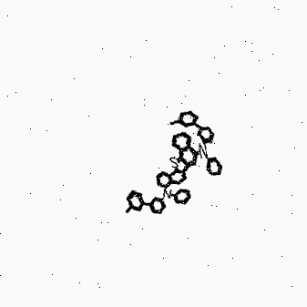 Cc1cccc(-c2cccc(N(c3ccccc3)c3cccc4c3ccc3c5cc(N(c6ccccc6)c6cccc(-c7cccc(C)c7)c6)c6ccccc6c5sc43)c2)c1